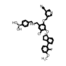 COc1cccc(-c2cccc3c2CC[C@@H]3Oc2cc(OCc3cncc(C#N)c3)c(CNCc3ccc(B(O)O)cc3)cc2Cl)c1F